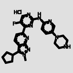 Cl.Cn1nc2nc(-c3nc(Nc4ccc(N5CCNCC5)cn4)ncc3F)ccc2c1C1CCCC1